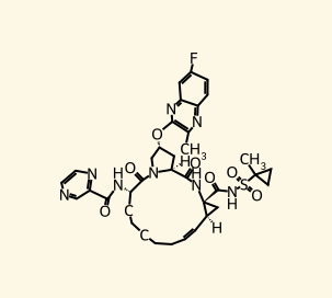 Cc1nc2ccc(F)cc2nc1O[C@@H]1C[C@H]2C(=O)N[C@]3(C(=O)NS(=O)(=O)C4(C)CC4)C[C@H]3/C=C\CCCCC[C@H](NC(=O)c3cnccn3)C(=O)N2C1